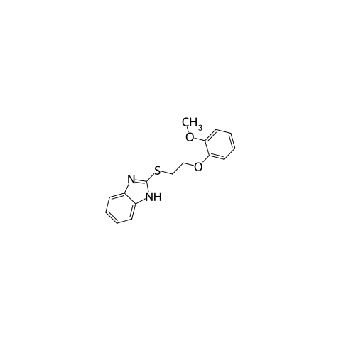 COc1ccccc1OCCSc1nc2ccccc2[nH]1